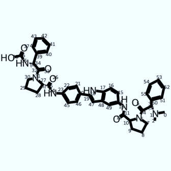 CN(C)[C@H](C(=O)N1CCCC1C(=O)Nc1ccc2[nH]c(-c3ccc(NC(=O)[C@@H]4CCCN4C(=O)[C@H](NC(=O)O)c4ccccc4)cc3)cc2c1)c1ccccc1